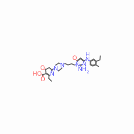 CCC1=C(C(=O)O)C(=O)CC(N2CCN(CCCCn3c(N)nc(Nc4ccc(C)c(CC)c4)cc3=O)CC2)=N1